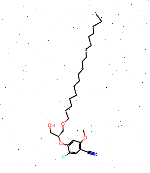 CCCCCCCCCCCCCCCCCCOC[C@H](CO)Oc1cc(OC)c(C#N)cc1F